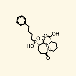 O=C(O)[C@@H]1CCCN2C(=O)CC[C@H](P(=O)(O)CCCCc3ccccc3)C(=O)N12